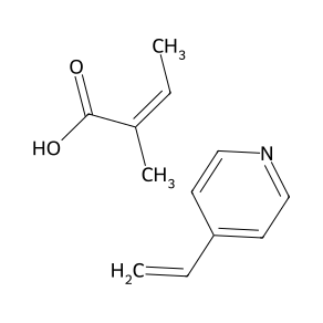 C=Cc1ccncc1.CC=C(C)C(=O)O